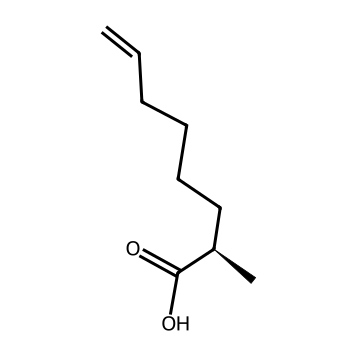 C=CCCCC[C@@H](C)C(=O)O